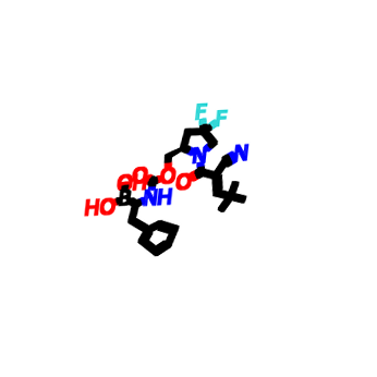 CC(C)(C)/C=C(\C#N)C(=O)N1CC(F)(F)C[C@@H]1COC(=O)NC(Cc1ccccc1)B(O)O